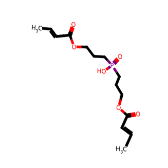 CC=CC(=O)OCCCP(=O)(O)CCCOC(=O)C=CC